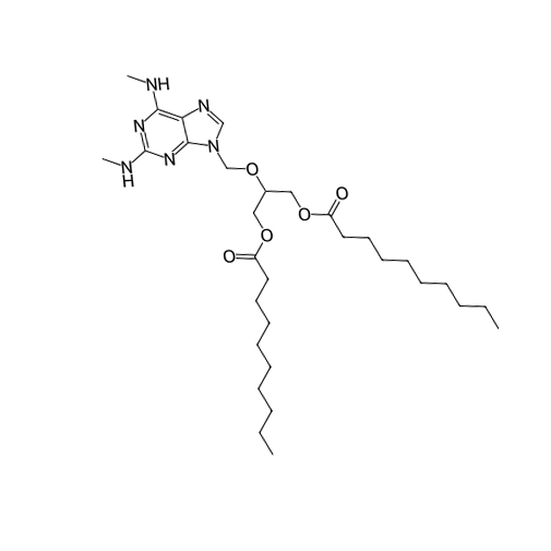 CCCCCCCCCC(=O)OCC(COC(=O)CCCCCCCCC)OCn1cnc2c(NC)nc(NC)nc21